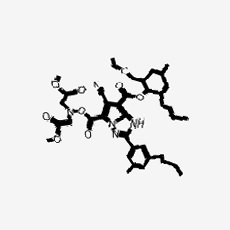 CCCCc1cc(C)cc(-c2nn3c(C(=O)ON(CC(=O)OC)CC(=O)OC)c(C#N)c(C(=O)OC4C(CCCC)CC(C)CC4CCCC)c3[nH]2)c1